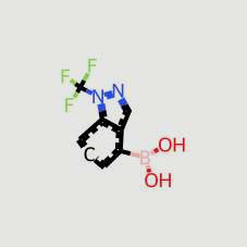 OB(O)c1cccc2c1cnn2C(F)(F)F